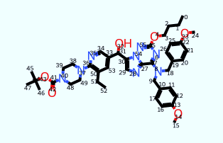 CCCCOc1nc(N(Cc2ccc(OC)cc2)Cc2ccc(OC)cc2)c2ncc(C(O)c3cnc(N4CCN(C(=O)OC(C)(C)C)CC4)c(CC)c3)n2n1